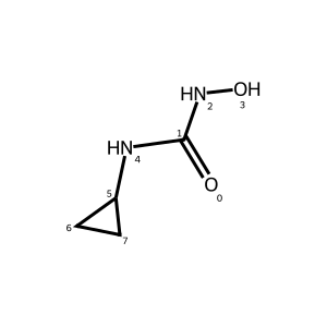 O=C(NO)NC1CC1